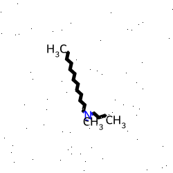 CCCCCCCCCCCCCN(C)CCCC